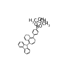 CC1(C)OB(c2ccc(C3=C4CCC=CC4=C(C4c5ccccc5-c5ccccc54)C=CC3)cc2)OC1(C)C